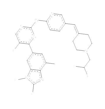 Cc1nc2c(F)cc(-c3nc(Nc4ccc(C=C5CCN(CC(F)F)CC5)cn4)ncc3F)cc2n1C(C)C